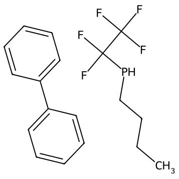 CCCCPC(F)(F)C(F)(F)F.c1ccc(-c2ccccc2)cc1